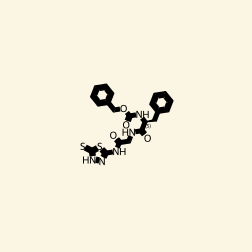 O=C(CNC(=O)[C@H](Cc1ccccc1)NC(=O)OCc1ccccc1)Nc1n[nH]c(=S)s1